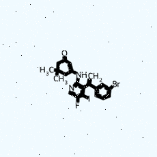 C=C(c1cccc(Br)c1)c1c(NC2=CC(=O)CC(C)(C)C2)ncc(F)c1I